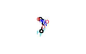 O=c1nc(OCc2cc(F)c(F)cc2F)cc2n1CC1CCOCN21